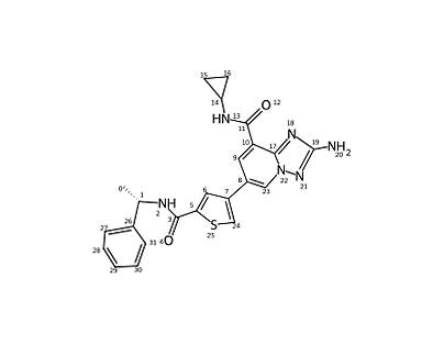 C[C@H](NC(=O)c1cc(-c2cc(C(=O)NC3CC3)c3nc(N)nn3c2)cs1)c1ccccc1